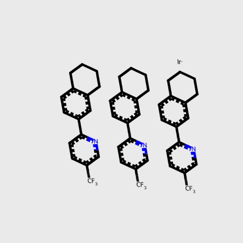 FC(F)(F)c1ccc(-c2ccc3c(c2)CCCC3)nc1.FC(F)(F)c1ccc(-c2ccc3c(c2)CCCC3)nc1.FC(F)(F)c1ccc(-c2ccc3c(c2)CCCC3)nc1.[Ir]